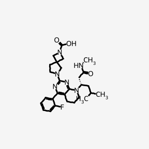 CNC(=O)C[C@H](CC(C)C)N1CCCc2c(-c3ccccc3F)nc(N3CCC4(CN(C(=O)O)C4)C3)nc21